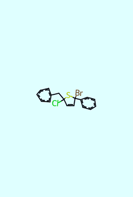 ClC1(Cc2ccccc2)C=CC(Br)(c2ccccc2)S1